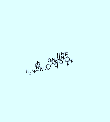 Cn1ccnc1CN(CCCN)Cc1ccc(-c2c[nH]c(NC(=O)Nc3cc(F)c(F)cc3F)nc2=O)cc1